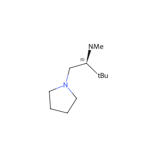 CN[C@H](CN1CCCC1)C(C)(C)C